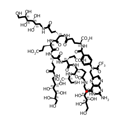 Nc1nc2ncc(CN(C(=O)C(F)(F)F)c3ccc(C(=O)N[C@@H](CCC(=O)N[C@@H](CCC(=O)NC[C@H](O)[C@@H](O)[C@H](O)[C@H](O)CO)C(=O)N[C@H](CCC(=O)O)C(=O)N[C@@H](CCC(=O)NC[C@H](O)[C@@H](O)[C@H](O)[C@H](O)CO)C(=O)N[C@H](CCC(=O)O)C(=O)N[C@@H](CCC(=O)NC[C@H](O)[C@@H](O)[C@H](O)[C@H](O)CO)C(=O)N[C@H](CS)C(=O)O)C(=O)O)cc3)nc2c(=O)[nH]1